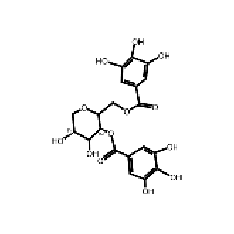 O=C(OCC1OC[C@H](O)C(O)[C@@H]1OC(=O)c1cc(O)c(O)c(O)c1)c1cc(O)c(O)c(O)c1